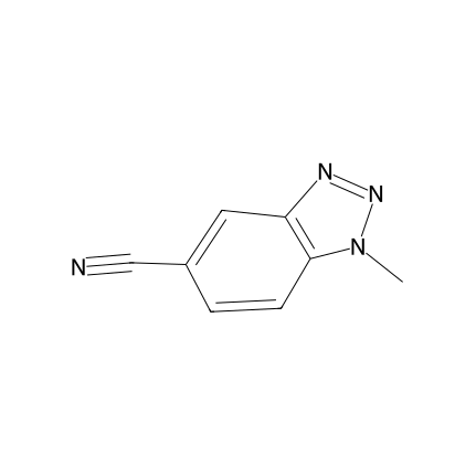 Cn1nnc2cc(C#N)ccc21